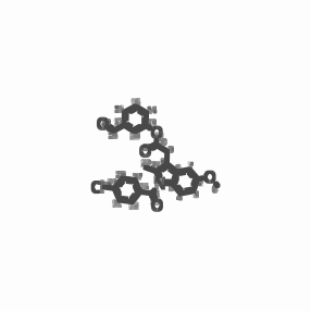 COc1ccc2c(c1)c(CC(=O)Oc1cccc(C=O)c1)c(C)n2C(=O)c1ccc(Cl)cc1